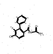 NC(=O)NC(=O)c1ccc(Cl)c(F)c1-c1ccccc1